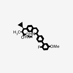 COc1ccc(F)c(-c2ccc(C3CCc4ccc([C@H](C5CC5)[C@H](C)C(=O)ONI)cc4N3)cc2)c1